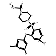 Cc1cc(C)cc(Oc2cc([N+](=O)[O-])ccc2S(=O)(=O)N2CCN(C(=O)OC(C)(C)C)CC2)c1